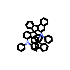 CC1(C)c2ccccc2-c2c(N(c3ccccc3)c3cc4ccccc4c4c3C3(c5ccccc5-c5c(N(c6ccccc6)c6ccccc6)cccc53)c3ccccc3-4)cccc21